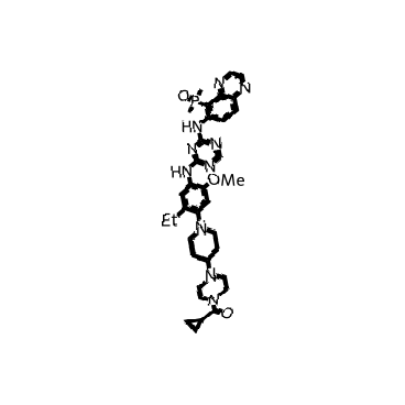 CCc1cc(Nc2ncnc(Nc3ccc4nccnc4c3P(C)(C)=O)n2)c(OC)cc1N1CCC(N2CCN(C(=O)C3CC3)CC2)CC1